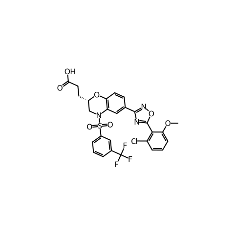 COc1cccc(Cl)c1-c1nc(-c2ccc3c(c2)N(S(=O)(=O)c2cccc(C(F)(F)F)c2)C[C@H](CCC(=O)O)O3)no1